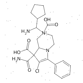 NC(=O)C1(C(=O)O)C(Cl)=C(c2ccccc2)N2CC[N+](C(=O)O)(C(N)C3CCCC3)CC21